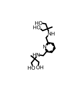 CC(CO)(CO)NCc1cccc(CNC(C)(CO)CO)n1